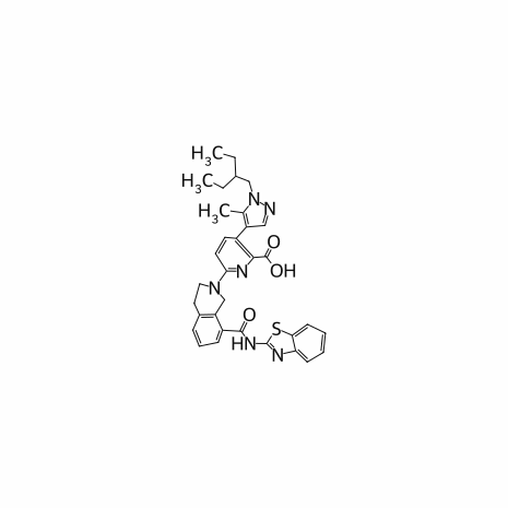 CCC(CC)Cn1ncc(-c2ccc(N3CCc4cccc(C(=O)Nc5nc6ccccc6s5)c4C3)nc2C(=O)O)c1C